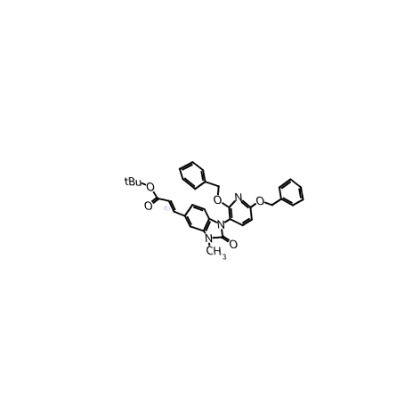 Cn1c(=O)n(-c2ccc(OCc3ccccc3)nc2OCc2ccccc2)c2ccc(/C=C/C(=O)OC(C)(C)C)cc21